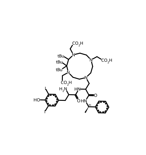 C[C@@H](NC(=O)C(CN1CCN(CC(=O)O)CCN(CC(=O)O)C(C(C)(C)C)C(C(C)(C)C)(C(C)(C)C)N(CC(=O)O)CC1)NC(=O)C(N)Cc1cc(I)c(O)c(I)c1)c1ccccc1